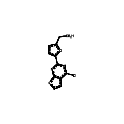 O=C(O)Cc1ccc(-c2nc(Cl)c3ccsc3n2)o1